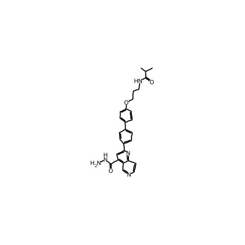 CC(C)C(=O)NCCCOc1ccc(-c2ccc(-c3cc(C(=O)NN)c4cnccc4n3)cc2)cc1